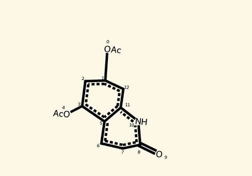 CC(=O)Oc1cc(OC(C)=O)c2ccc(=O)[nH]c2c1